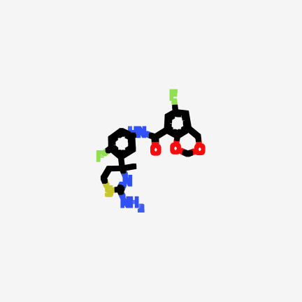 CC1(c2cc(NC(=O)c3cc(F)cc4c3OCOC4)ccc2F)CCSC(N)=N1